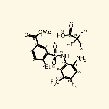 CCc1ccc(C(=O)OC)cc1S(=O)(=O)Nc1cc(C(F)(F)F)c(F)cc1N.O=C(O)C(F)(F)F